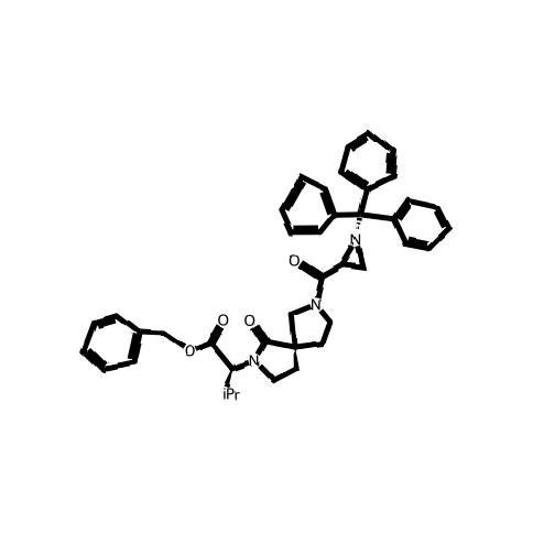 CC(C)[C@@H](C(=O)OCc1ccccc1)N1CC[C@@]2(CCN(C(=O)C3C[N@@]3C(c3ccccc3)(c3ccccc3)c3ccccc3)C2)C1=O